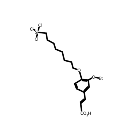 CCOc1cc(/C=C/C(=O)O)ccc1OCCCCCCCC[Si](Cl)(Cl)Cl